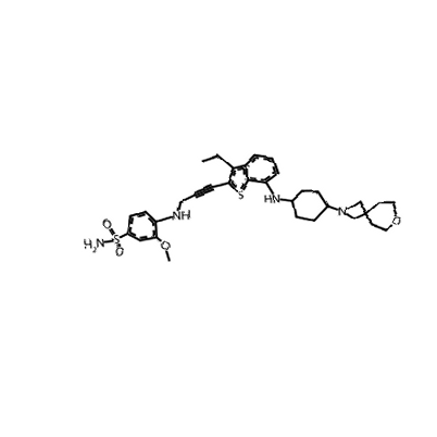 CCc1c(C#CCNc2ccc(S(N)(=O)=O)cc2OC)sc2c(NC3CCC(N4CC5(CCOCC5)C4)CC3)cccc12